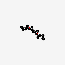 CC1(C)c2cc3c4ccc(-n5c6ccccc6c6cc(-c7cccc8c7oc7ccccc78)ccc65)cc4c4ccccc4c3cc2-c2cc3c4ccccc4c4cc(-n5c6ccccc6c6cc(-c7cccc8c7oc7ccccc78)ccc65)ccc4c3cc21